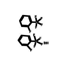 Br.Fc1ccccc1P(F)(F)(F)F.Fc1ccccc1P(F)(F)(F)F